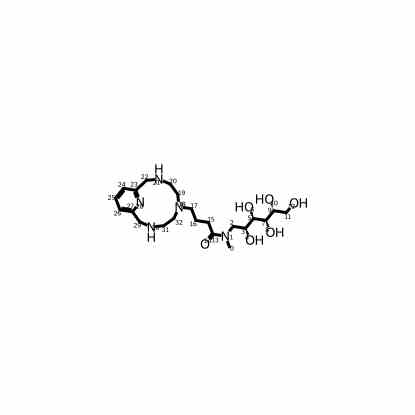 CN(C[C@H](O)[C@@H](O)[C@H](O)[C@H](O)CO)C(=O)CCCN1CCNCc2cccc(n2)CNCC1